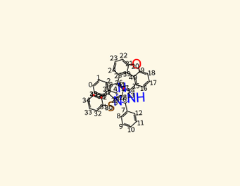 c1ccc(C2=NC(c3ccccc3)NC(c3cccc4oc5cccc(-c6ccc7sc8ccccc8c7c6)c5c34)=N2)cc1